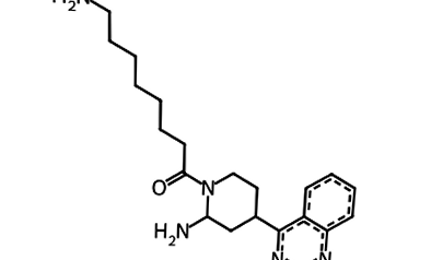 NCCCCCCCC(=O)N1CCC(c2ncnc3ccccc23)CC1N